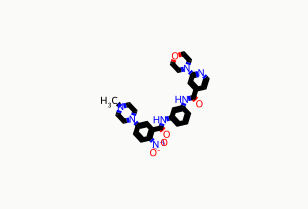 CN1CCN(c2ccc([N+](=O)[O-])c(C(=O)Nc3cccc(NC(=O)c4ccnc(N5CCOCC5)c4)c3)c2)CC1